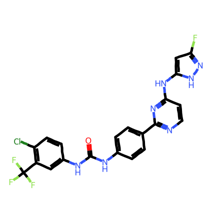 O=C(Nc1ccc(-c2nccc(Nc3cc(F)n[nH]3)n2)cc1)Nc1ccc(Cl)c(C(F)(F)F)c1